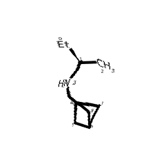 CC[C@@H](C)NC12CC(C1)C2